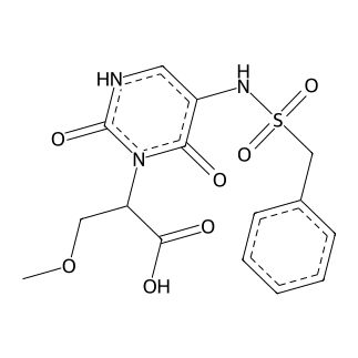 COCC(C(=O)O)n1c(=O)[nH]cc(NS(=O)(=O)Cc2ccccc2)c1=O